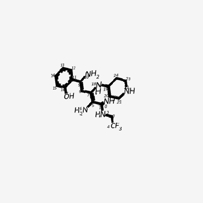 N=C(NCC(F)(F)F)/C(N)=C(/C=C(\N)c1ccccc1O)NC1CCNCC1